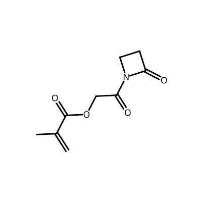 C=C(C)C(=O)OCC(=O)N1CCC1=O